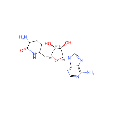 Nc1ncnc2c1ncn2[C@@H]1O[C@H](CC2CCC(N)C(=O)N2)[C@@H](O)[C@H]1O